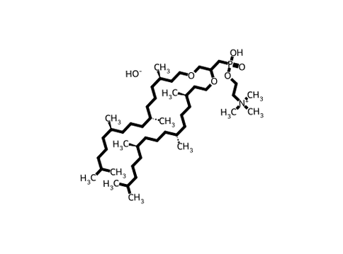 CC(C)CCC[C@@H](C)CCC[C@@H](C)CCC[C@@H](C)CCOCC(CP(=O)(O)OCC[N+](C)(C)C)OCC[C@H](C)CCC[C@H](C)CCC[C@H](C)CCCC(C)C.[OH-]